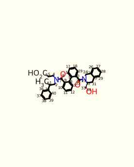 CC(CN(CCC(=O)O)C(=O)c1ccccc1-c1ccccc1C(=O)N1Cc2ccccc2C[C@H]1CO)c1ccccc1